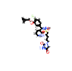 O=C1CN(CCCCCS(=O)(=O)NC(c2ccc(F)c(OCC3CC3)c2)C2CCCNC2)C(=O)N1